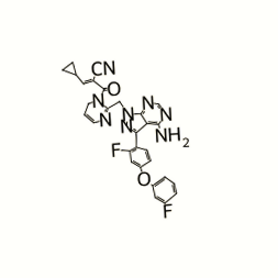 N#CC(=CC1CC1)C(=O)N1CC=CN=C1Cn1nc(-c2ccc(Oc3cccc(F)c3)cc2F)c2c(N)ncnc21